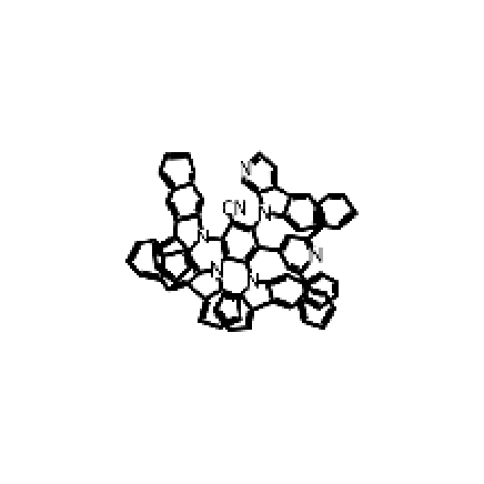 N#Cc1c(-n2c3ccccc3c3ccncc32)c(-c2cc(-c3ccccc3)nc(-c3ccccc3)c2)c(-n2c3ccccc3c3cc4ccccc4cc32)c(-n2c3ccccc3c3cc4ccccc4cc32)c1-n1c2ccccc2c2cc3ccccc3cc21